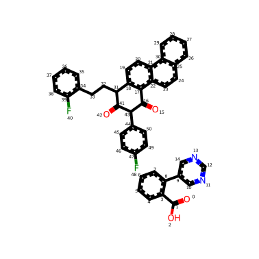 O=C(O)c1ccccc1-c1cncnc1.O=C1c2c(ccc3c2ccc2ccccc23)C(CCc2ccccc2F)C(=O)C1c1ccc(F)cc1